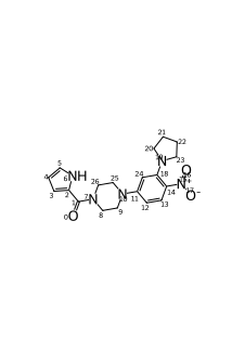 O=C(c1ccc[nH]1)N1CCN(c2ccc([N+](=O)[O-])c(N3CCCC3)c2)CC1